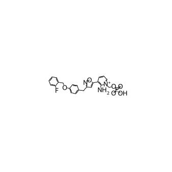 Nc1c(-c2cc(Cc3ccc(OCc4ccccc4F)cc3)no2)ccc[n+]1COP(=O)([O-])O